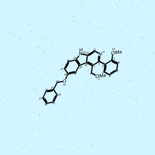 COCc1c(-c2ccccc2OC)ncc2[nH]c3ccc(OCc4ccccc4)cc3c12